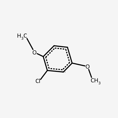 COc1[c]c(Cl)c(OC)cc1